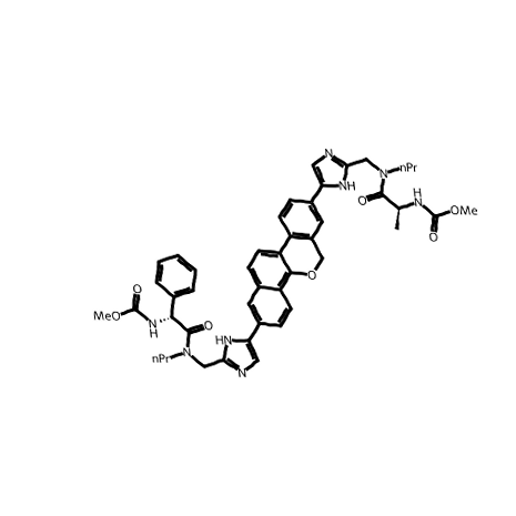 CCCN(Cc1ncc(-c2ccc3c(c2)COc2c-3ccc3cc(-c4cnc(CN(CCC)C(=O)[C@H](NC(=O)OC)c5ccccc5)[nH]4)ccc23)[nH]1)C(=O)[C@H](C)NC(=O)OC